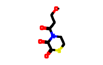 [O]CCC(=O)N1CCSC(=O)C1=O